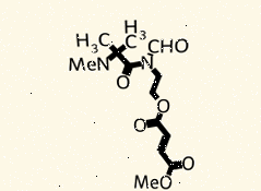 CNC(C)(C)C(=O)N(C=O)CCOC(=O)/C=C/C(=O)OC